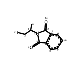 CC(CI)N1C(=O)c2ccccc2C1=O